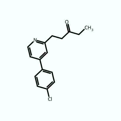 CCC(=O)CCc1cc(-c2ccc(Cl)cc2)ccn1